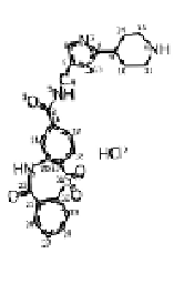 Cl.O=C(NCc1cnc(C2CCNCC2)s1)c1ccc2c(c1)NC(=O)c1ccccc1S2(=O)=O